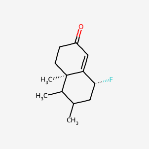 CC1C[C@@H](F)C2=CC(=O)CC[C@]2(C)C1C